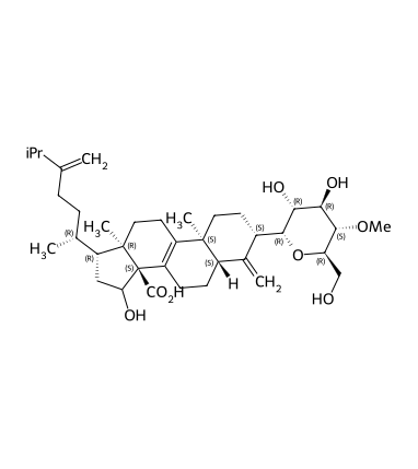 C=C(CC[C@@H](C)[C@H]1CC(O)[C@@]2(C(=O)O)C3=C(CC[C@]12C)[C@@]1(C)CC[C@H]([C@H]2O[C@H](CO)[C@@H](OC)[C@H](O)[C@H]2O)C(=C)[C@@H]1CC3)C(C)C